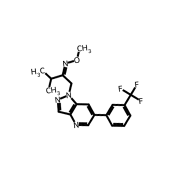 CO/N=C(\Cn1ncc2ncc(-c3cccc(C(F)(F)F)c3)cc21)C(C)C